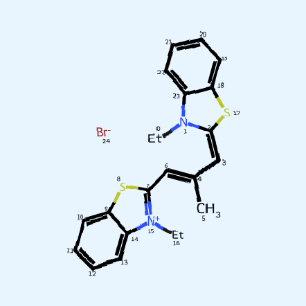 CCN1C(=CC(C)=Cc2sc3ccccc3[n+]2CC)Sc2ccccc21.[Br-]